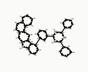 c1ccc(-c2nc(-c3ccccc3)nc(-c3cccc(-c4cccc5sc6cc7ccc8ccccc8c7cc6c45)c3)n2)cc1